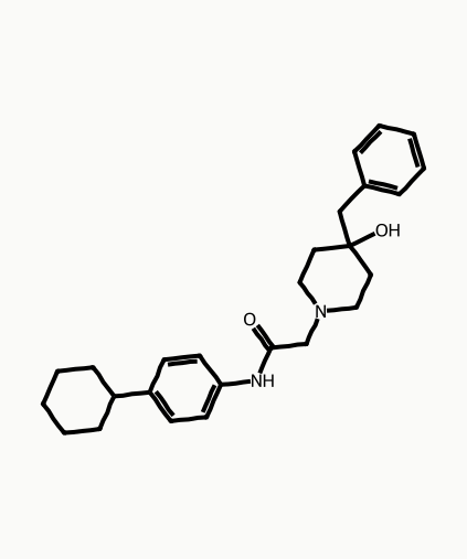 O=C(CN1CCC(O)(Cc2ccccc2)CC1)Nc1ccc(C2CCCCC2)cc1